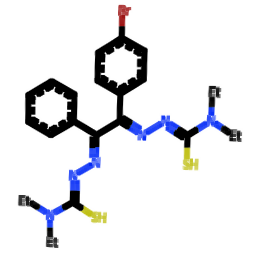 CCN(CC)/C(S)=N/N=C(/C(=N/N=C(\S)N(CC)CC)c1ccc(Br)cc1)c1ccccc1